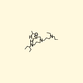 CCCN(CC)CCCN(CCCNC(CC)CC)C[SiH2]OC(C)C